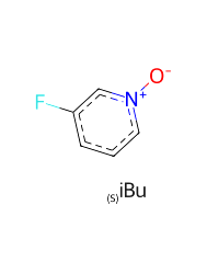 CC[C@H](C)c1cc(F)c[n+]([O-])c1